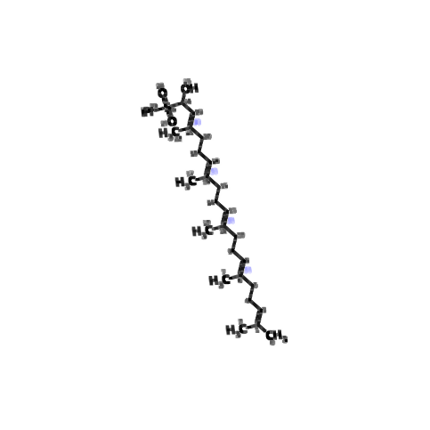 CC(C)=CCC/C(C)=C/CC/C(C)=C/CC/C(C)=C/CC/C(C)=C/C(O)S(=O)(=O)C(C)C